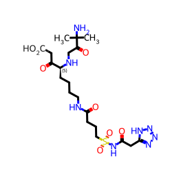 CC(C)(N)C(=O)CN[C@@H](CCCCNC(=O)CCCS(=O)(=O)NC(=O)Cc1nnn[nH]1)C(=O)CC(=O)O